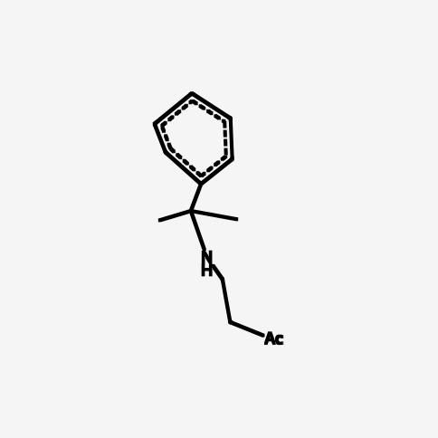 CC(=O)CCNC(C)(C)c1ccccc1